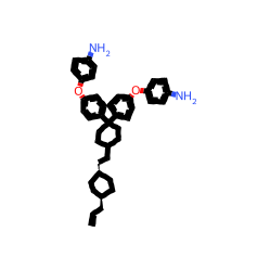 C=CC[C@H]1CC[C@H](CCC2CCC(c3ccc(Oc4ccc(N)cc4)cc3)(c3ccc(Oc4ccc(N)cc4)cc3)CC2)CC1